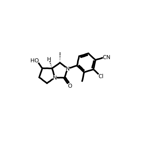 Cc1c(N2C(=O)N3CCC(O)[C@H]3[C@@H]2C)ccc(C#N)c1Cl